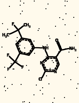 CC(C)(F)c1cc(Nc2nc(Cl)ncc2C(N)=O)cc(C(F)(F)F)c1